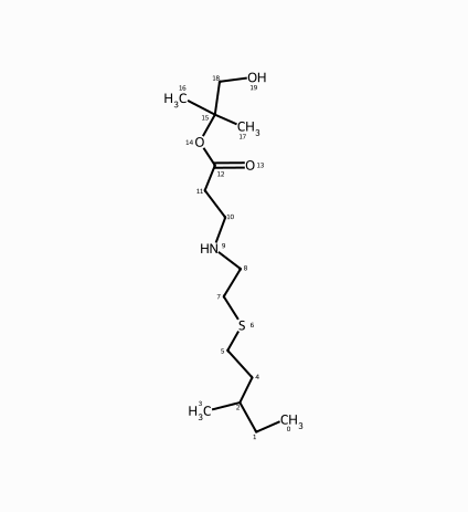 CCC(C)CCSCCNCCC(=O)OC(C)(C)CO